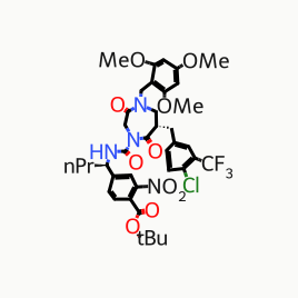 CCC[C@@H](NC(=O)N1CC(=O)N(Cc2c(OC)cc(OC)cc2OC)C[C@H](Cc2ccc(Cl)c(C(F)(F)F)c2)C1=O)c1ccc(C(=O)OC(C)(C)C)c([N+](=O)[O-])c1